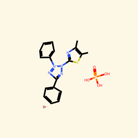 Cc1nc(-n2nc(-c3ccccc3)n[n+]2-c2ccccc2)sc1C.O=P(O)(O)O.[Br-]